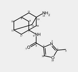 Cc1nc(C(=O)NC23CC4CC(CC(N)(C4)C2)C3)co1